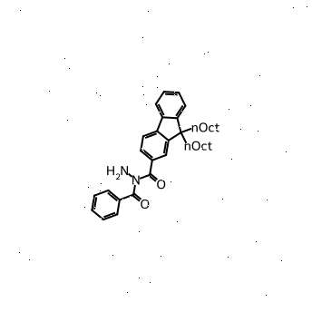 CCCCCCCCC1(CCCCCCCC)c2ccccc2-c2ccc(C(=O)N(N)C(=O)c3ccccc3)cc21